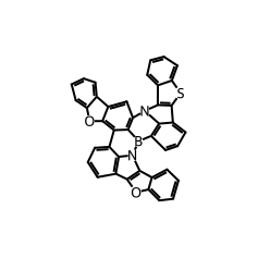 c1ccc2c(c1)oc1c3c4c(cc12)-n1c2c(cccc2c2sc5ccccc5c21)B4n1c2c-3cccc2c2oc3ccccc3c21